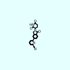 N#Cc1cccc(-c2ccc3c(c2)CN(C2CCC(=O)NC2=O)C3=O)n1